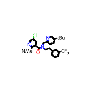 CNc1ncc(Cl)cc1C(=O)N(CCc1cccc(C(F)(F)F)c1)Cc1ccc(C(C)(C)C)cn1